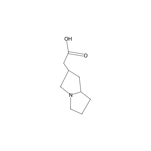 O=C(O)CC1CC2CCCN2C1